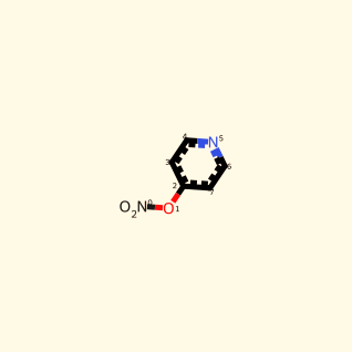 O=[N+]([O-])Oc1[c]cncc1